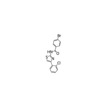 O=C(Nc1nc(-c2ccccc2Cl)cs1)c1ccc(Br)cc1